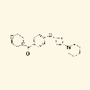 O=C(c1ccc(OC2CC(N3CCCCC3)C2)cc1)N1CCOCC1